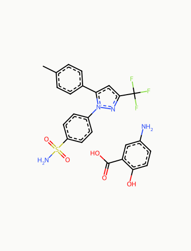 Cc1ccc(-c2cc(C(F)(F)F)nn2-c2ccc(S(N)(=O)=O)cc2)cc1.Nc1ccc(O)c(C(=O)O)c1